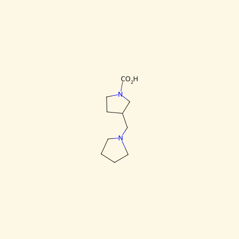 O=C(O)N1CCC(CN2CCCC2)C1